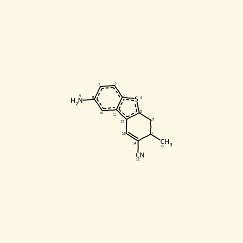 CC1Cc2sc3ccc(N)cc3c2C=C1C#N